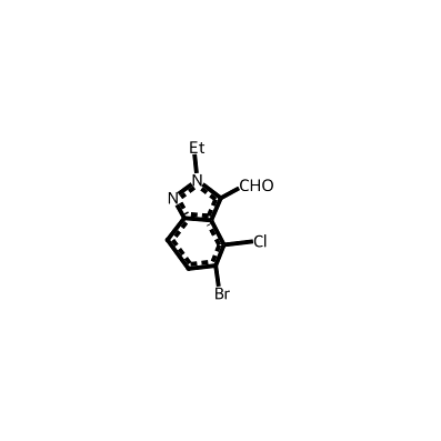 CCn1nc2ccc(Br)c(Cl)c2c1C=O